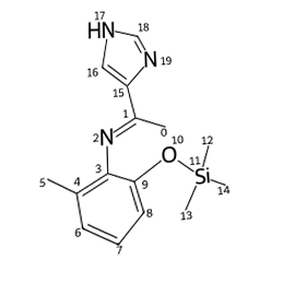 C/C(=N\c1c(C)cccc1O[Si](C)(C)C)c1c[nH]cn1